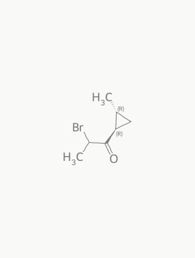 CC(Br)C(=O)[C@@H]1C[C@H]1C